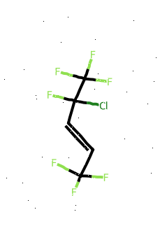 FC(F)(F)C=CC(F)(Cl)C(F)(F)F